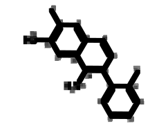 Cc1cc2ccc(-c3ccccc3C)c(N)c2cc1O